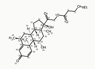 CCOCCC(=O)OCC(=O)[C@@]1(O)CC[C@H]2[C@@H]3C[C@H](C)C4=CC(=O)C=C[C@]4(C)[C@H]3[C@@H](O)C[C@@]21C